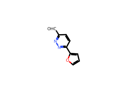 O=Cc1ccc(-c2ccco2)nn1